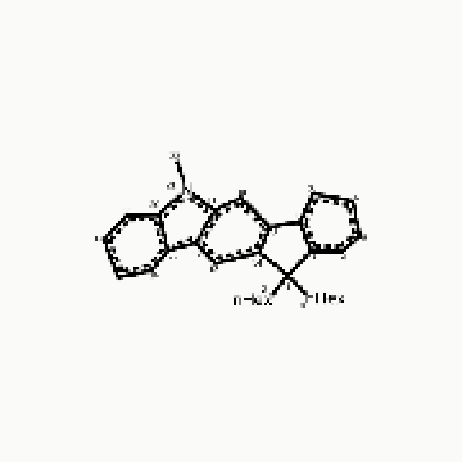 CCCCCCC1(CCCCCC)c2ccccc2-c2cc3c(cc21)c1ccccc1n3C